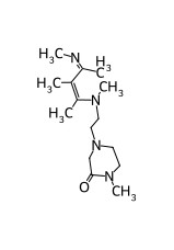 C/N=C(C)\C(C)=C(\C)N(C)CCN1CCN(C)C(=O)C1